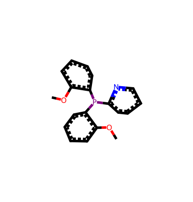 COc1ccccc1P(c1ccccn1)c1ccccc1OC